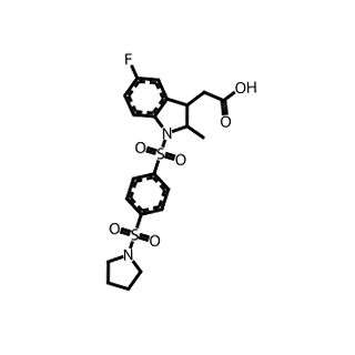 CC1C(CC(=O)O)c2cc(F)ccc2N1S(=O)(=O)c1ccc(S(=O)(=O)N2CCCC2)cc1